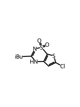 CCC(C)C1=NS(=O)(=O)c2sc(Cl)cc2N1